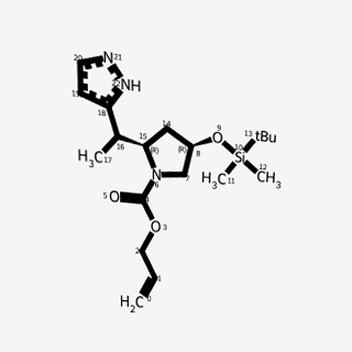 C=CCOC(=O)N1C[C@H](O[Si](C)(C)C(C)(C)C)C[C@@H]1C(C)c1ccn[nH]1